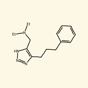 CCN(CC)Cc1[nH]nnc1CCCc1ccccc1